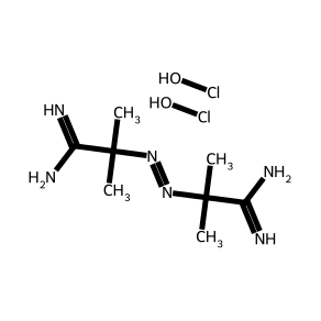 CC(C)(N=NC(C)(C)C(=N)N)C(=N)N.OCl.OCl